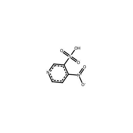 O=[N+]([O-])c1ccncc1S(=O)(=O)O